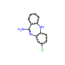 NC1=Nc2cc(Cl)ccc2Nc2ccccc21